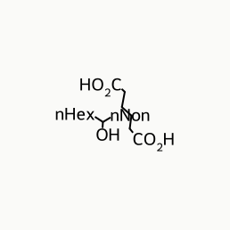 CCCCCCCCCC(O)CCCCCC.O=C(O)CCCCC(=O)O